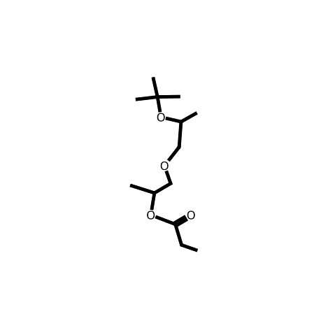 CCC(=O)OC(C)COCC(C)OC(C)(C)C